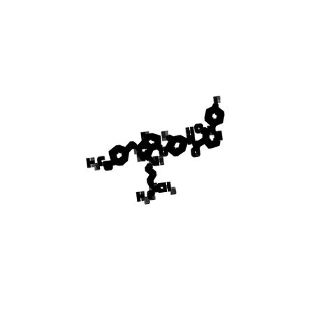 COc1ccc(Cn2nc(NCCCN(C)C)c3c(Oc4ccc(NC(=O)c5ccnn(-c6ccc(F)cc6)c5=O)cc4F)ccnc32)cc1